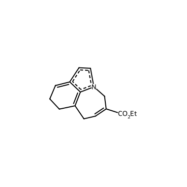 CCOC(=O)C1=CCC2=c3c(ccn3C1)=CCC2